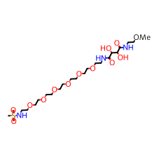 COCCNC(=O)C(O)C(O)C(=O)NCCOCCOCCOCCOCCOCCOCCNS(C)(=O)=O